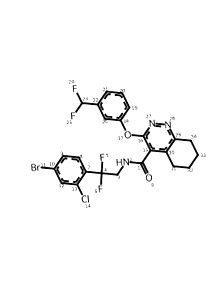 O=C(NCC(F)(F)c1ccc(Br)cc1Cl)c1c(Oc2cccc(C(F)F)c2)nnc2c1CCCC2